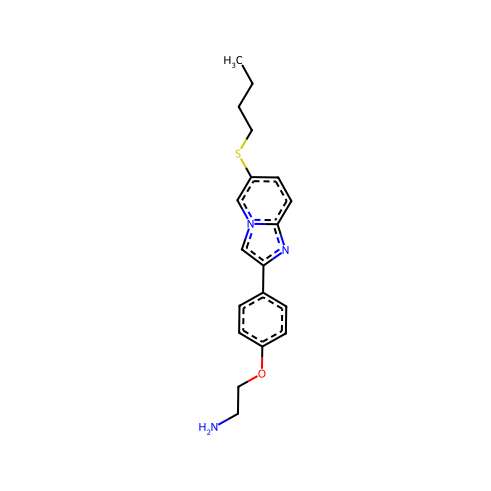 CCCCSc1ccc2nc(-c3ccc(OCCN)cc3)cn2c1